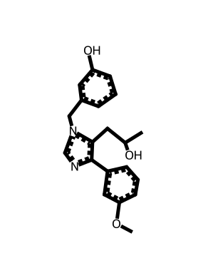 COc1cccc(-c2ncn(Cc3cccc(O)c3)c2CC(C)O)c1